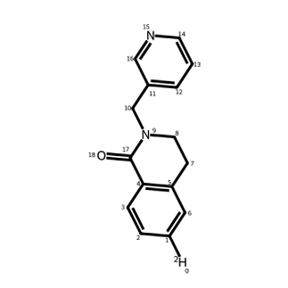 [2H]c1ccc2c(c1)CCN(Cc1cccnc1)C2=O